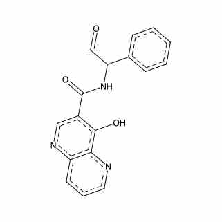 O=[C]C(NC(=O)c1cnc2cccnc2c1O)c1ccccc1